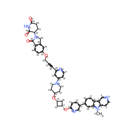 Cn1c2ccncc2c2ccc(-c3ccc(O[C@H]4C[C@H](OC5CCN(c6ccnc(C#CCOc7ccc8c(c7)CN(C7CCC(=O)NC7=O)C8=O)c6)CC5)C4)nc3)cc21